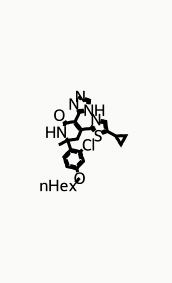 CCCCCCOc1ccc(C2(C)CC(c3ncc(C4CC4)s3)=C(c3nnc[nH]3)C(=O)N2)c(Cl)c1